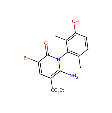 CCOC(=O)c1cc(Br)c(=O)n(-c2c(C)ccc(O)c2C)c1N